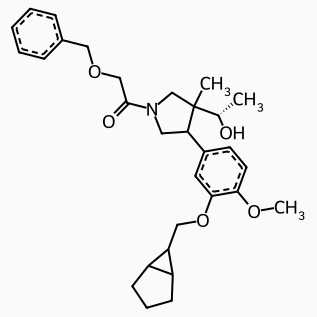 COc1ccc(C2CN(C(=O)COCc3ccccc3)CC2(C)[C@H](C)O)cc1OCC1C2CCCC21